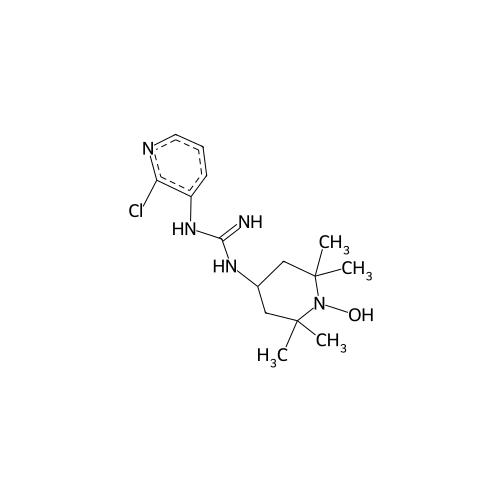 CC1(C)CC(NC(=N)Nc2cccnc2Cl)CC(C)(C)N1O